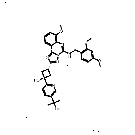 COc1ccc(CNc2nc3c(OC)cccc3c3nc([C@H]4C[C@@](O)(c5ccc(C(C)(C)O)cn5)C4)nn23)c(OC)c1